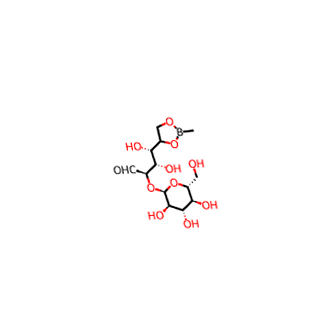 CB1OCC([C@@H](O)[C@H](O)[C@H](C=O)O[C@H]2O[C@H](CO)[C@@H](O)[C@H](O)[C@H]2O)O1